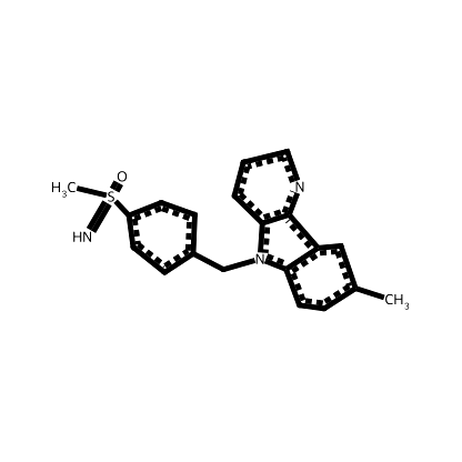 Cc1ccc2c(c1)c1ncccc1n2Cc1ccc(S(C)(=N)=O)cc1